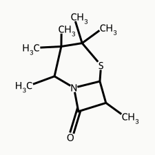 CC1C(=O)N2C1SC(C)(C)C(C)(C)C2C